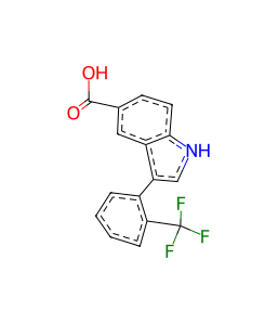 O=C(O)c1ccc2[nH]cc(-c3ccccc3C(F)(F)F)c2c1